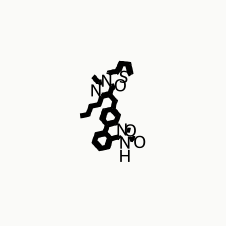 CCCCc1nc(C)n(Cc2cccs2)c(=O)c1Cc1ccc(-c2ccccc2-c2noc(=O)[nH]2)cc1